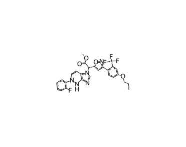 CCCOc1ccc(-c2cc(C(C(=O)OC)n3cnc4c3C=CN(c3ccccc3F)N4)on2)c(C(F)(F)F)c1